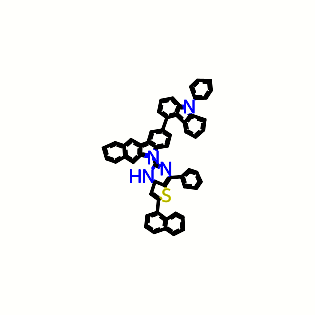 C1=C(c2cccc3ccccc23)SC2=C(c3ccccc3)N=C(n3c4ccc(-c5cccc6c5c5ccccc5n6-c5ccccc5)cc4c4cc5ccccc5cc43)NC12